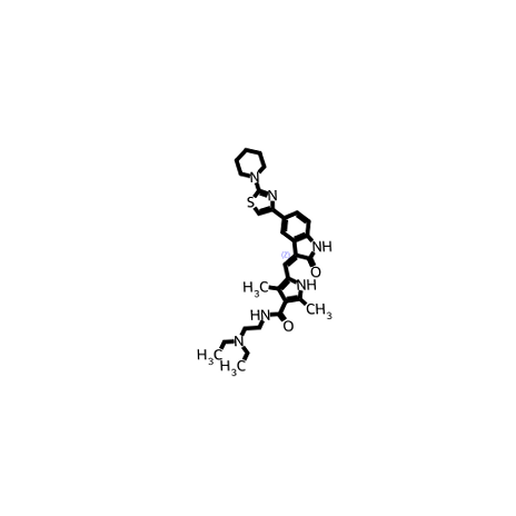 CCN(CC)CCNC(=O)c1c(C)[nH]c(/C=C2\C(=O)Nc3ccc(-c4csc(N5CCCCC5)n4)cc32)c1C